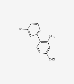 Cc1cc(C=O)ccc1-c1cccc(Br)c1